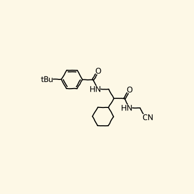 CC(C)(C)c1ccc(C(=O)NCC(C(=O)NCC#N)C2CCCCC2)cc1